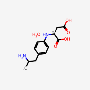 CC(N)Cc1ccc(N[C@@H](CC(=O)O)C(=O)O)cc1.O